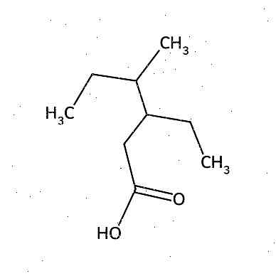 CCC(C)C(CC)CC(=O)O